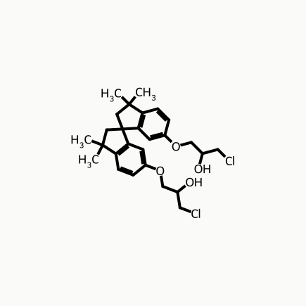 CC1(C)CC2(CC(C)(C)c3ccc(OCC(O)CCl)cc32)c2cc(OCC(O)CCl)ccc21